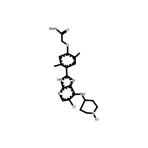 CCN1CCC(Nc2c(Cl)cnc3[nH]c(-c4cc(C)c(OCC(=O)NC)cc4C)nc23)CC1